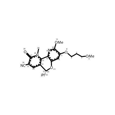 COCCCOc1cc2c(nc1OC)-c1c(cc(C#N)c(=O)n1C)[C@@H](C(C)C)O2